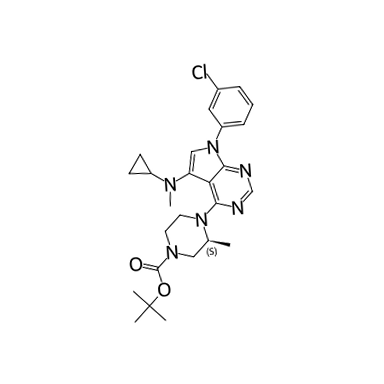 C[C@H]1CN(C(=O)OC(C)(C)C)CCN1c1ncnc2c1c(N(C)C1CC1)cn2-c1cccc(Cl)c1